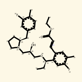 CCOC(=O)/C=C/c1cc(C)c(F)cc1[C@@H](CC)OC[C@H](O)CN1CCC[C@H]1Cc1ccc(C)c(F)c1